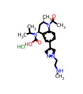 CNCCn1cc(-c2ccc3c(c2)[C@H](N(C(=O)O)C(C)C)C[C@H](C)N3C(C)=O)cn1.Cl